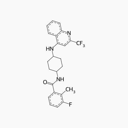 Cc1c(F)cccc1C(=O)NC1CCC(Nc2cc(C(F)(F)F)nc3ccccc23)CC1